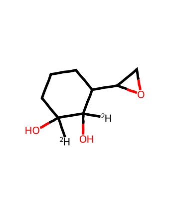 [2H]C1(O)CCCC(C2CO2)C1([2H])O